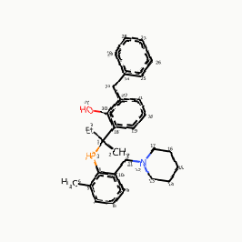 CCC(C)(Pc1c(C)cccc1CN1CCCCC1)c1cccc(Cc2ccccc2)c1O